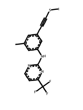 Cc1cc(C#CSI)cc(Nc2nccc(C(F)(F)F)n2)c1